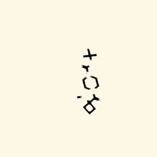 COC1(C(=O)N2CCN(C(=O)OC(C)(C)C)CC2)CCC1